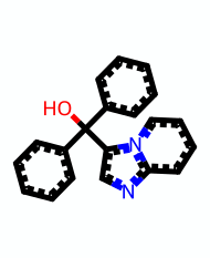 OC(c1ccccc1)(c1ccccc1)c1cnc2ccccn12